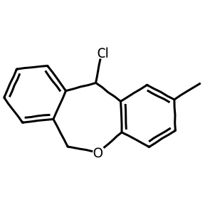 Cc1ccc2c(c1)C(Cl)c1ccccc1CO2